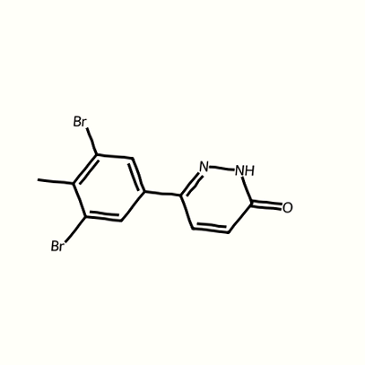 Cc1c(Br)cc(-c2ccc(=O)[nH]n2)cc1Br